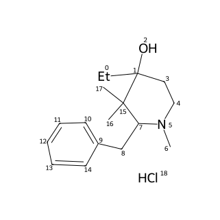 CCC1(O)CCN(C)C(Cc2ccccc2)C1(C)C.Cl